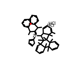 CC1=CC=CC2[CH]([Zr]([C]3=CC=CC3)=[C](C(C)c3ccccc3)C(C)c3ccccc3)C3(C)C4(C)C=CC=CC4(C)C4(C)C=CC=CC4(C)C3(C)C12C.Cl.Cl